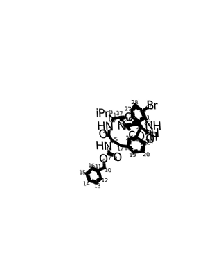 CC(C)[C@@H]1NC(=O)C(NC(=O)OCc2ccccc2)Cc2ccc3c(c2)C2(c4cccc(Br)c4N[C@H]2O3)c2oc1nc2C(=O)O